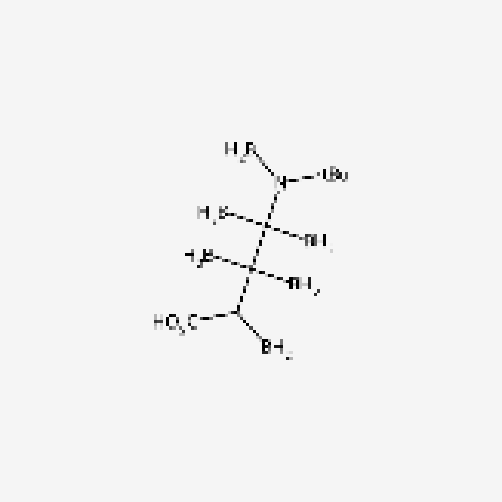 BC(C(=O)O)C(B)(B)C(B)(B)N(B)C(C)(C)C